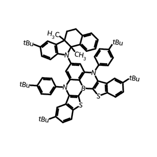 CC(C)(C)c1ccc(N2c3cc(N4c5ccc(C(C)(C)C)cc5C5(C)CCc6ccccc6C45C)cc4c3B(c3sc5ccc(C(C)(C)C)cc5c32)c2sc3ccc(C(C)(C)C)cc3c2N4c2ccc(C(C)(C)C)cc2)cc1